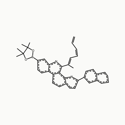 C=C/C=C\C=C(/C)c1nc2cc(B3OC(C)(C)C(C)(C)O3)ccc2c2ccc3ccc(-c4ccc5ccccc5c4)nc3c12